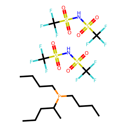 CCCCP(CCCC)C(C)CCC.O=S(=O)(NS(=O)(=O)C(F)(F)F)C(F)(F)F.O=S(=O)(NS(=O)(=O)C(F)(F)F)C(F)(F)F